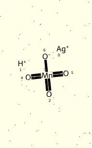 [Ag+].[H+].[O]=[Mn](=[O])(=[O])[O-]